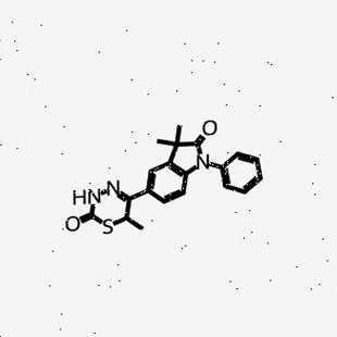 CC1SC(=O)NN=C1c1ccc2c(c1)C(C)(C)C(=O)N2c1ccccc1